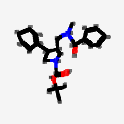 CN(C[C@H]1CN(C(=O)OC(C)(C)C)CC1c1ccccc1)C(=O)c1ccccc1